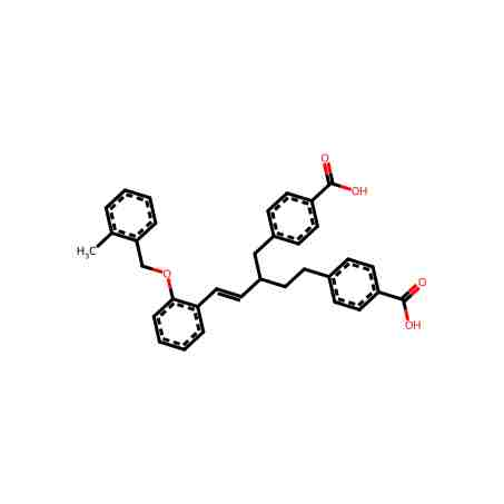 Cc1ccccc1COc1ccccc1/C=C/C(CCc1ccc(C(=O)O)cc1)Cc1ccc(C(=O)O)cc1